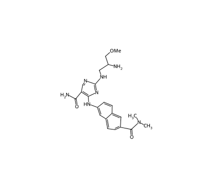 COCC(N)CNc1ncc(C(N)=O)c(Nc2ccc3cc(C(=O)N(C)C)ccc3c2)n1